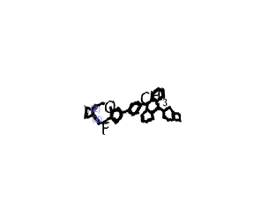 CC1(c2ccc(-c3ccc4c(c3)OC/C=C3/CC/C3=C/C4F)cc2)c2ccccc2C(C2C=CC3=C(CC3)C2)=C2C=CC=CC21